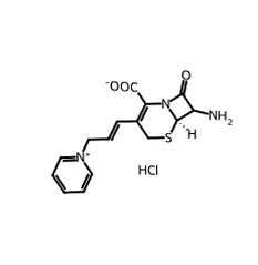 Cl.NC1C(=O)N2C(C(=O)[O-])=C(/C=C/C[n+]3ccccc3)CS[C@H]12